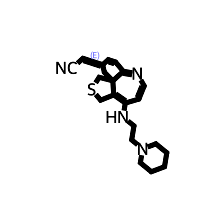 N#C/C=C1/C=CC2=NC=CC(NCCN3CCCCC3)=C3CSCC23C1